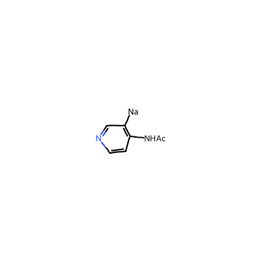 CC(=O)Nc1ccnc[c]1[Na]